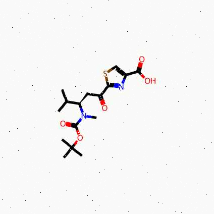 CC(C)[C@@H](CC(=O)c1nc(C(=O)O)cs1)N(C)C(=O)OC(C)(C)C